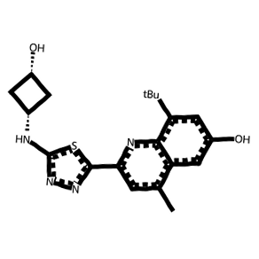 Cc1cc(-c2nnc(N[C@H]3C[C@@H](O)C3)s2)nc2c(C(C)(C)C)cc(O)cc12